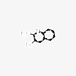 CCc1cc2ccccc2nc1C(F)(F)F